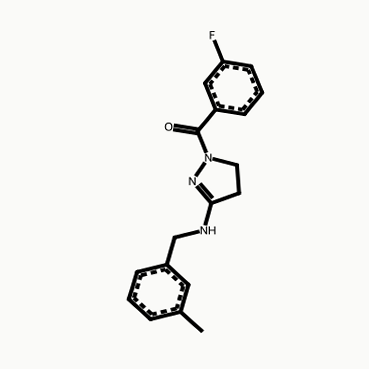 Cc1cccc(CNC2=NN(C(=O)c3cccc(F)c3)CC2)c1